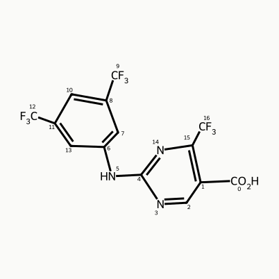 O=C(O)c1cnc(Nc2cc(C(F)(F)F)cc(C(F)(F)F)c2)nc1C(F)(F)F